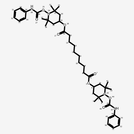 CC1(C)CC(OC(=O)CCCCCCCCC(=O)OC2CC(C)(C)N(OC(=O)Nc3ccccc3)C(C)(C)C2)CC(C)(C)N1OC(=O)Nc1ccccc1